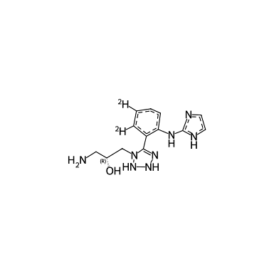 [2H]c1ccc(Nc2ncc[nH]2)c(C2=NNNN2C[C@H](O)CN)c1[2H]